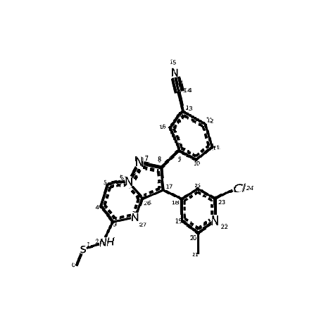 CSNc1ccn2nc(-c3cccc(C#N)c3)c(-c3cc(C)nc(Cl)c3)c2n1